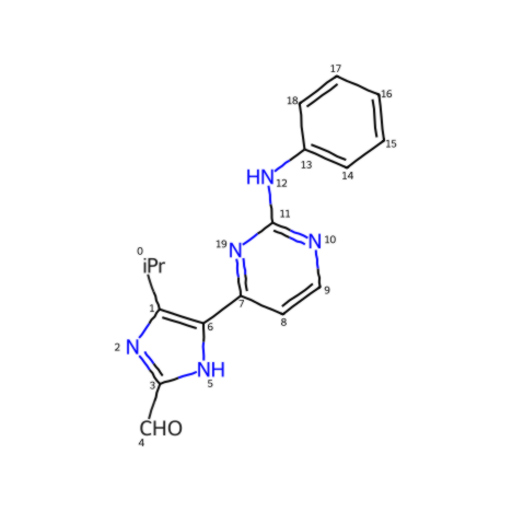 CC(C)c1nc(C=O)[nH]c1-c1ccnc(Nc2ccccc2)n1